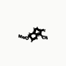 [CH2]c1ccc2cc(OC)ccc2c1C#N